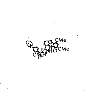 COc1cc(N2CCOCC2)ccc1Nc1ncnc(-c2cccnc2Nc2c(Cl)c(OC)cc(OC)c2Cl)n1